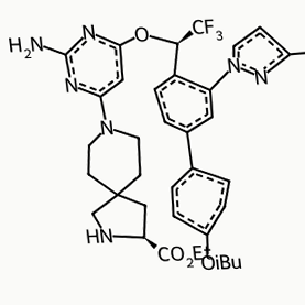 CCOC(=O)[C@@H]1CC2(CCN(c3cc(O[C@H](c4ccc(-c5ccc(OCC(C)C)cc5)cc4-n4ccc(C)n4)C(F)(F)F)nc(N)n3)CC2)CN1